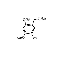 COCc1cc(C(C)=O)c(OC)cc1OC